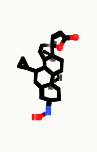 C[C@]12CCC3C(C(C4CC4)CC4=CC(=NO)CC[C@@H]43)C1CC[C@@]21C=CC(=O)O1